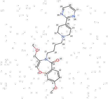 COCC1=COc2cc(OC)ccc2C(=O)N1CCCCN1CC=C(c2ncccn2)CC1